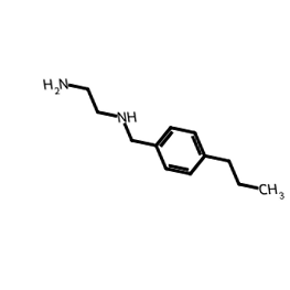 CCCc1ccc(CNCCN)cc1